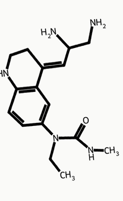 CCN(C(=O)NC)c1ccc2c(c1)/C(=C/C(N)CN)CCN2